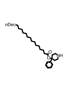 CCCCCCCCCCCCCCCCCCCCCCCCC(=O)OC1(c2ccccc2)CCNCC1